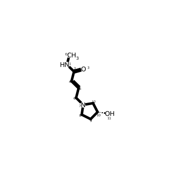 CNC(=O)/C=C/CN1CC[C@@H](O)C1